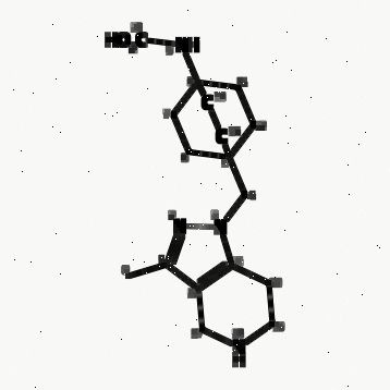 Cc1nn(CC23CCC(NC(=O)O)(CC2)CC3)c2c1CNCC2